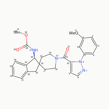 COc1cccc(-n2nccc2C(=O)N2CCC3(CC2)Cc2ccccc2[C@H]3NC(=O)OC(C)(C)C)c1